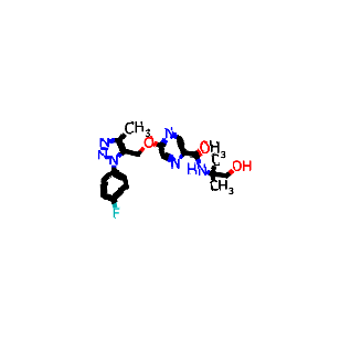 Cc1nnn(-c2ccc(F)cc2)c1COc1cnc(C(=O)NC(C)(C)CO)cn1